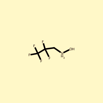 O[SiH2]CC(F)(F)C(F)(F)F